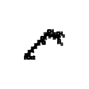 CCCCCCCC/C=C/CCCCCCCC(=O)OCC=C(C)CCC=C(C)C